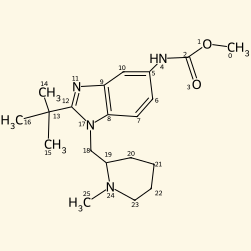 COC(=O)Nc1ccc2c(c1)nc(C(C)(C)C)n2CC1CCCCN1C